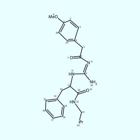 COc1ccc(CC(=O)N=C(N)NC(Cc2ccccc2)C(=O)NCC(C)C)cc1